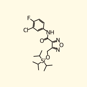 CC(C)[Si](OCc1nonc1C(=O)Nc1ccc(F)c(Cl)c1)(C(C)C)C(C)C